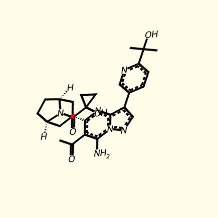 CC(=O)c1c([C@@H]2C[C@H]3CC[C@@H](C2)N3C(=O)C2(O)CC2)nc2c(-c3ccc(C(C)(C)O)nc3)cnn2c1N